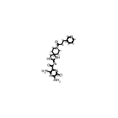 Nc1nc(N)c(C(=O)/N=C2\NCC3(CCN(C(=O)CCc4cccnc4)CC3)N2)nc1Cl